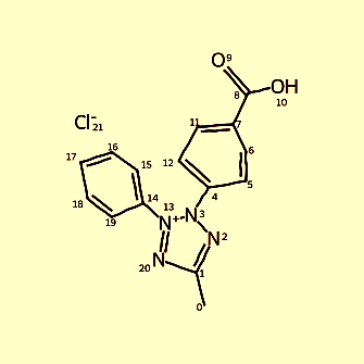 Cc1nn(-c2ccc(C(=O)O)cc2)[n+](-c2ccccc2)n1.[Cl-]